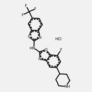 Cl.Fc1cc(C2CCNCC2)cc2nc(Nc3nc4ccc(C(F)(F)F)cc4s3)oc12